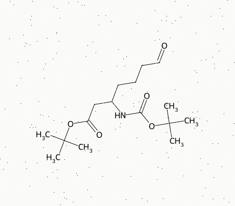 CC(C)(C)OC(=O)CC(CCCC=O)NC(=O)OC(C)(C)C